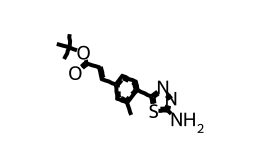 Cc1cc(/C=C/C(=O)OC(C)(C)C)ccc1-c1nnc(N)s1